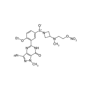 CCCc1nn(C)c2c(=O)[nH]c(-c3cc([S+]([O-])N4CC(N(C)CCO[N+](=O)[O-])C4)ccc3OCC)nc12